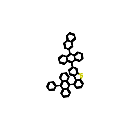 c1ccc(-c2c3ccccc3c(-c3cccc4sc5cc(-c6c7ccccc7c(-c7ccc8ccccc8c7)c7ccccc67)ccc5c34)c3ccccc23)cc1